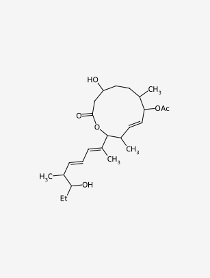 CCC(O)C(C)/C=C/C=C(\C)C1OC(=O)CC(O)CCC(C)C(OC(C)=O)/C=C/C1C